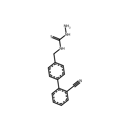 N#Cc1ccccc1-c1ccc(CNC(=S)NN)cc1